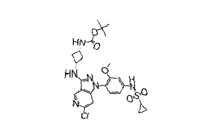 COc1cc(NS(=O)(=O)C2CC2)ccc1-n1nc(N[C@H]2C[C@@H](NC(=O)OC(C)(C)C)C2)c2cnc(Cl)cc21